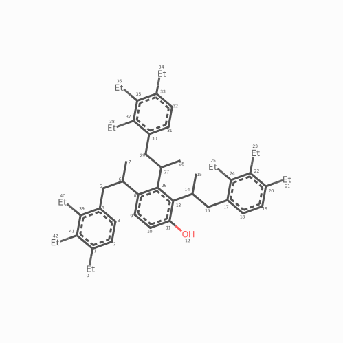 CCc1ccc(CC(C)c2ccc(O)c(C(C)Cc3ccc(CC)c(CC)c3CC)c2C(C)Cc2ccc(CC)c(CC)c2CC)c(CC)c1CC